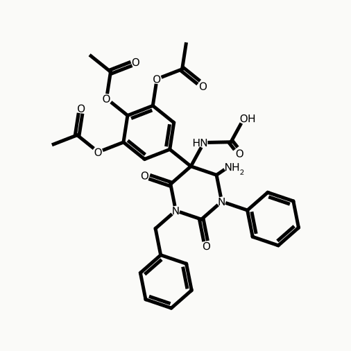 CC(=O)Oc1cc(C2(NC(=O)O)C(=O)N(Cc3ccccc3)C(=O)N(c3ccccc3)C2N)cc(OC(C)=O)c1OC(C)=O